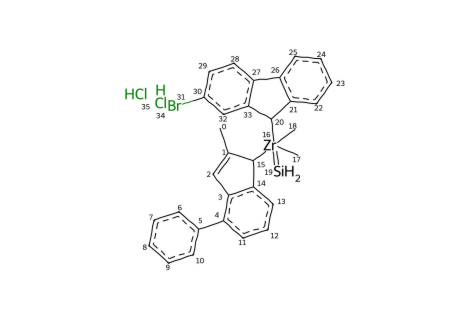 CC1=Cc2c(-c3ccccc3)cccc2[CH]1[Zr]([CH3])([CH3])(=[SiH2])[CH]1c2ccccc2-c2ccc(Br)cc21.Cl.Cl